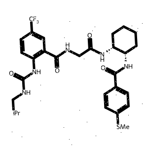 CSc1ccc(C(=O)N[C@H]2CCCC[C@H]2NC(=O)CNC(=O)c2cc(C(F)(F)F)ccc2NC(=O)NCC(C)C)cc1